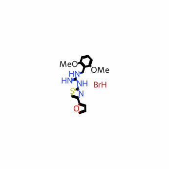 Br.COc1cccc(OC)c1CNC(=N)Nc1nc(-c2ccco2)cs1